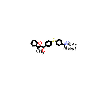 CCCCCCC/C(=N\OC(C)=O)c1ccc(Sc2ccc(C(=O)c3oc4ccccc4c3C)cc2)cc1